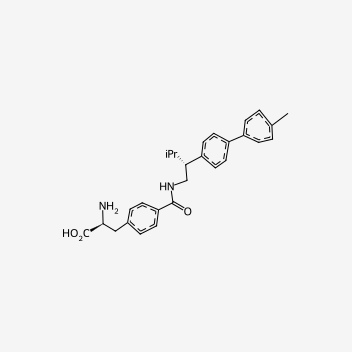 Cc1ccc(-c2ccc([C@H](CNC(=O)c3ccc(C[C@H](N)C(=O)O)cc3)C(C)C)cc2)cc1